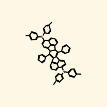 Cc1ccc(N(c2ccc(C)cc2)c2ccc3c4c(cccc24)C2=C(c4ccccc4)C4c5ccc(N(c6ccc(C)cc6)c6ccc(C)cc6)c6cccc(c56)C4C(c4ccccc4)=C23)cc1